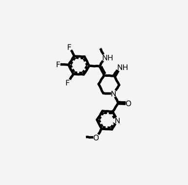 CN/C(=C1/CCN(C(=O)c2ccc(OC)cn2)CC1=N)c1cc(F)c(F)c(F)c1